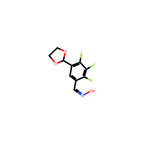 O/N=C\c1cc(C2OCCO2)c(F)c(F)c1F